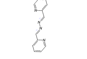 C(=N\N=C\c1ccccn1)/c1ccccn1